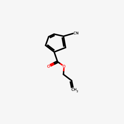 C=CCOC(=O)c1cccc(C#N)c1